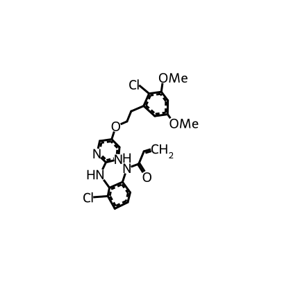 C=CC(=O)Nc1cccc(Cl)c1Nc1ncc(OCCc2cc(OC)cc(OC)c2Cl)cn1